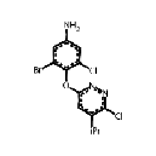 CC(C)c1cc(Oc2c(Cl)cc(N)cc2Br)nnc1Cl